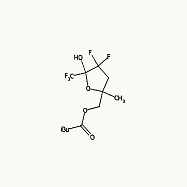 CCC(C)C(=O)OCC1(C)CC(F)(F)C(O)(C(F)(F)F)O1